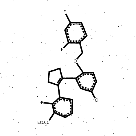 CCOC(=O)c1cccc(C2=C(c3cc(Cl)ccc3OCc3ccc(F)cc3F)CCC2)c1F